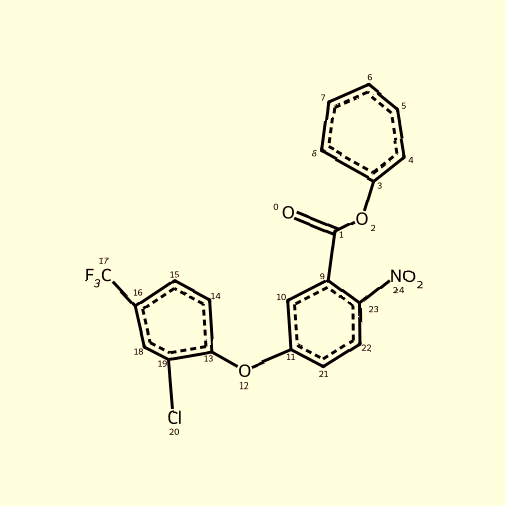 O=C(Oc1ccccc1)c1cc(Oc2ccc(C(F)(F)F)cc2Cl)ccc1[N+](=O)[O-]